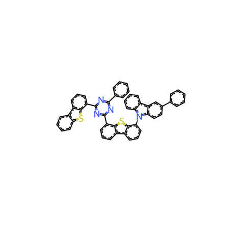 c1ccc(-c2ccc3c(c2)c2ccccc2n3-c2cccc3c2sc2c(-c4nc(-c5ccccc5)nc(-c5cccc6c5sc5ccccc56)n4)cccc23)cc1